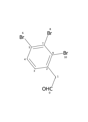 O=C[CH]c1ccc(Br)c(Br)c1Br